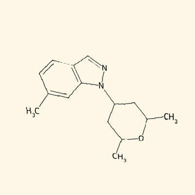 Cc1ccc2cnn(C3CC(C)OC(C)C3)c2c1